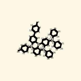 Cc1ccc(-c2ccc3c(c2)B2c4ccc(N(c5ccccc5)c5ccccc5)cc4N(c4ccccc4)c4cccc(c42)N3c2ccc(C)cc2)cc1